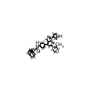 C[C@@H]1COCCN1c1cc(-c2ccc(NC(=O)NC34CC5CC(CC(C5)C3)C4)cc2)c2cnn(-c3cc[nH]n3)c2n1